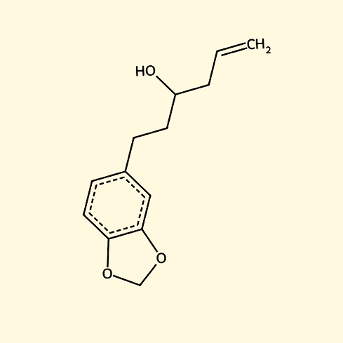 C=CCC(O)CCc1ccc2c(c1)OCO2